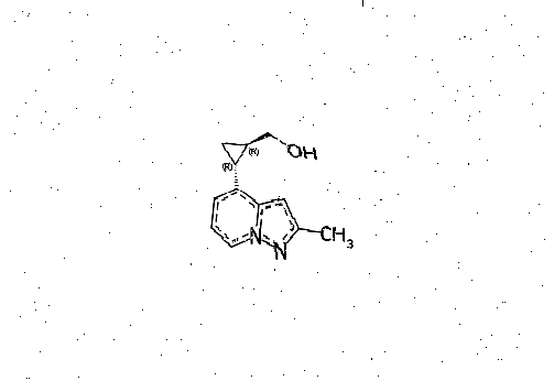 Cc1cc2c([C@@H]3C[C@H]3CO)cccn2n1